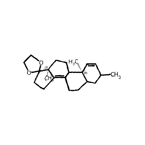 CC1C=C[C@@]2(C)C(CCC3=C4CCC5(OCCO5)[C@@]4(C)CCC32)C1